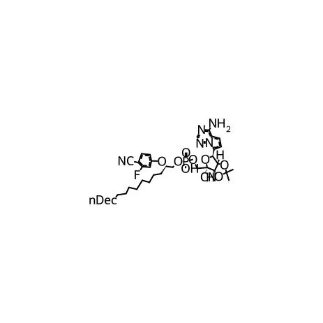 CCCCCCCCCCCCCCCCCC[C@H](COP(=O)(O)OC[C@@]1(C#N)O[C@@H](c2ccc3c(N)ncnn23)[C@@H]2OC(C)(C)O[C@@H]21)Oc1ccc(C#N)c(F)c1